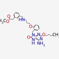 CCCCOc1nc(N)c2[nH]c(=O)n(Cc3ccccc3OCCCNCc3cccc(CC(=O)OC)c3)c2n1